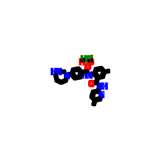 Cc1ccc(NC(=O)c2cc(C)ccc2NC(=O)c2ccc(N3CCCCNC3)cc2)nc1.Cl.O